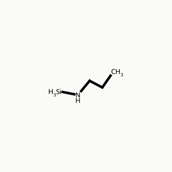 CC[CH]N[SiH3]